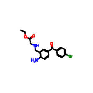 CCOC(=O)CNCc1cc(C(=O)c2ccc(Br)cc2)ccc1N